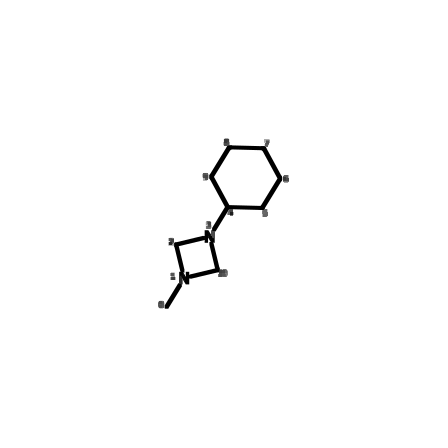 CN1CN(C2CCCCC2)C1